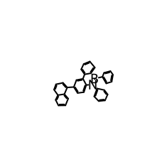 c1ccc(B2c3ccccc3-c3cc(-c4cccc5ccccc45)ccc3N2c2ccccc2)cc1